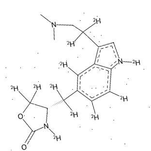 [2H]c1c(C([2H])([2H])[C@@H]2N([2H])C(=O)OC2([2H])[2H])c([2H])c2c(C([2H])([2H])CN(C)C)cn([2H])c2c1[2H]